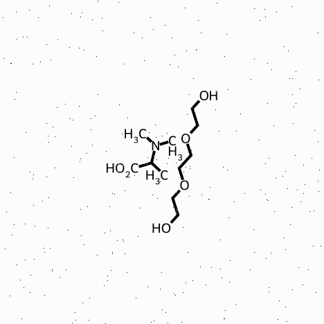 CC(C(=O)O)N(C)C.OCCOCCOCCO